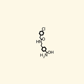 NC(O)c1ccc(CCNC(=O)Cc2ccc(Cl)cc2)cc1